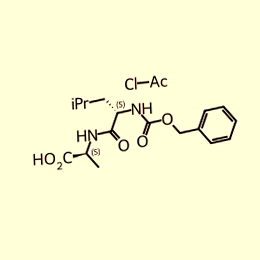 CC(=O)Cl.CC(C)C[C@H](NC(=O)OCc1ccccc1)C(=O)N[C@@H](C)C(=O)O